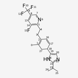 CC1=C(CCc2ncc(C(F)(F)F)cc2F)C=CC(c2cnc(C(C)C)[nH]2)C1